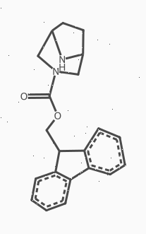 O=C(OCC1c2ccccc2-c2ccccc21)N1CC2CCC(C1)N2